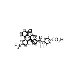 O=C(NC1CCC(C(=O)O)CC1)c1cnn2c(-c3ccc(C(F)(F)F)cc3)c(-c3ccccc3Cl)cnc12